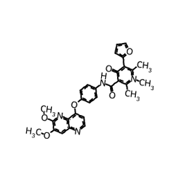 COc1cc2nccc(Oc3ccc(NC(=O)c4c(C)n(C)c(C)c(-c5ccco5)c4=O)cc3)c2nc1OC